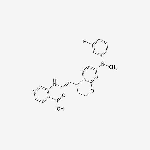 CN(c1cccc(F)c1)c1ccc2c(c1)OCCC2/C=C/Nc1cnccc1C(=O)O